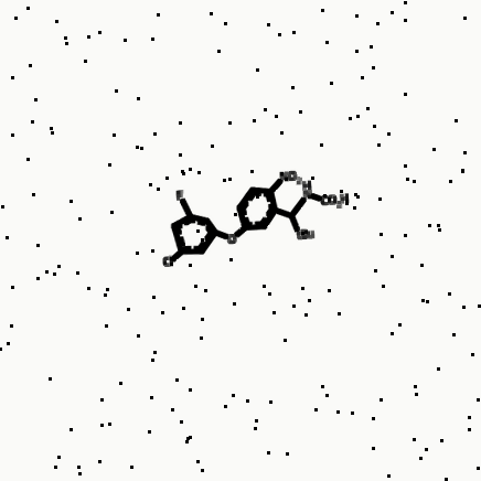 CC(C)(C)C(NC(=O)O)c1cc(Oc2cc(F)cc(Cl)c2)ccc1[N+](=O)[O-]